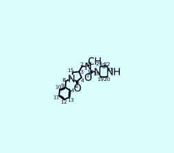 CN(CC1CC(=O)N(Cc2ccccc2)C1)C(=O)N1CCNCC1